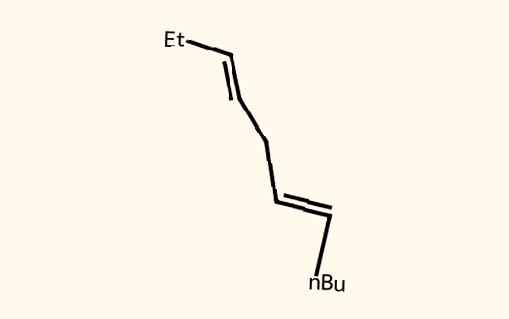 [CH2]C/C=C/C/C=C/CCCC